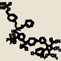 Cc1c(C(=O)O)c(-c2cccc(N3CCN(N(c4ccc(N[C@H](CCN5CCC(COP(=O)(O)O)CC5)CSc5ccccc5)c(S(=O)(=O)C(F)(F)F)c4)[SH](=O)=O)CC3)c2)c(-c2ccc(Cl)cc2)n1C(C)C